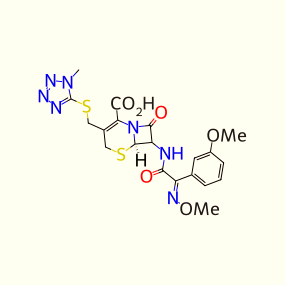 CO/N=C(/C(=O)NC1C(=O)N2C(C(=O)O)=C(CSc3nnnn3C)CS[C@H]12)c1cccc(OC)c1